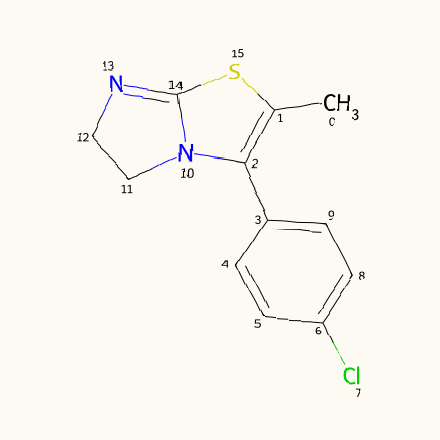 CC1=C(c2ccc(Cl)cc2)N2CCN=C2S1